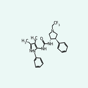 Cc1nn(-c2ccccc2)c(NC(=O)N[C@@H]2CN(CC(F)(F)F)C[C@H]2c2ccccc2)c1C